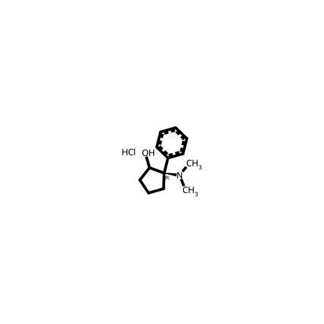 CN(C)[C@@]1(c2ccccc2)CCCC1O.Cl